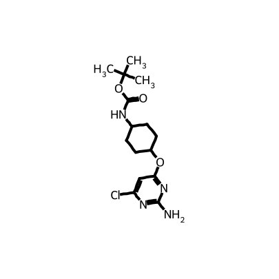 CC(C)(C)OC(=O)NC1CCC(Oc2cc(Cl)nc(N)n2)CC1